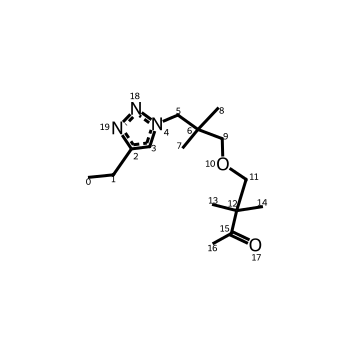 CCc1cn(CC(C)(C)COCC(C)(C)C(C)=O)nn1